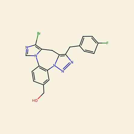 OCc1ccc2c(c1)-n1nnc(Cc3ccc(F)cc3)c1Cc1c(Br)ncn1-2